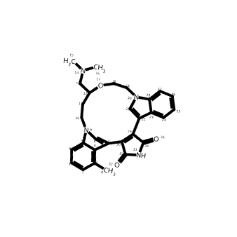 Cc1cccc2c1c1cn2CCC(CN(C)C)OCCn2cc(c3ccccc32)C2=C1C(=O)NC2=O